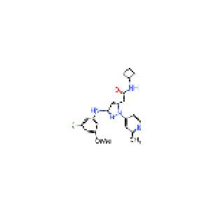 COc1cc(Cl)cc(Nc2cc(CC(=O)NC3CCC3)n(-c3ccnc(C)c3)n2)c1